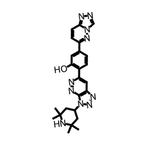 CC1(C)CC(n2nnc3cc(-c4ccc(-c5ccc6nncn6n5)cc4O)nnc32)CC(C)(C)N1